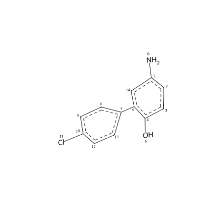 Nc1ccc(O)c(-c2ccc(Cl)cc2)c1